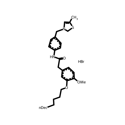 Br.CCCCCCCCCCCCCCOc1cc(CC(=O)Nc2ccc(CN3C=C(C)SC3)cc2)ccc1OC